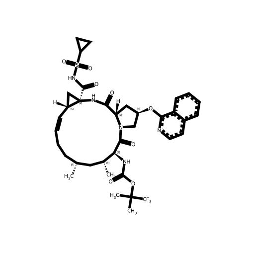 C[C@@H]1CCC=C[C@@H]2C[C@@]2(C(=O)NS(=O)(=O)C2CC2)NC(=O)[C@@H]2C[C@@H](Oc3nccc4ccccc34)CN2C(=O)[C@@H](NC(=O)OC(C)(C)C(F)(F)F)[C@H](C)C1